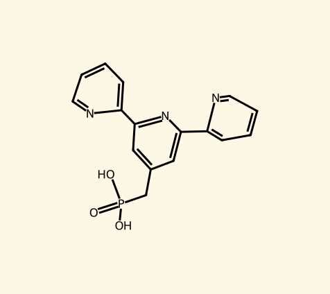 O=P(O)(O)Cc1cc(-c2ccccn2)nc(-c2ccccn2)c1